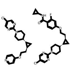 Clc1cnc(N2CCC([C@@H]3C[C@H]3CCOc3ccncc3)CC2)nc1.O=C(NC1CC1)c1ccc(OCC[C@H]2C[C@@H]2C2CCN(c3ncc(Cl)cn3)CC2)cc1F